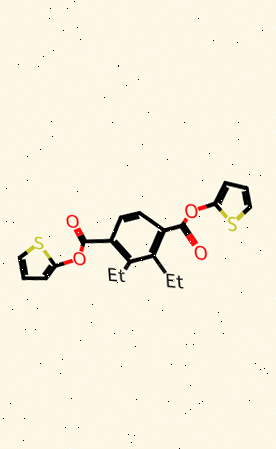 CCc1c(C(=O)Oc2cccs2)ccc(C(=O)Oc2cccs2)c1CC